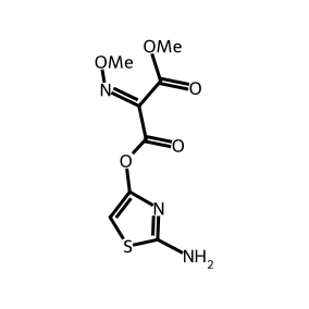 CON=C(C(=O)OC)C(=O)Oc1csc(N)n1